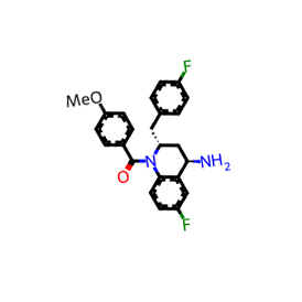 COc1ccc(C(=O)N2c3ccc(F)cc3[C@H](N)C[C@H]2Cc2ccc(F)cc2)cc1